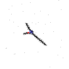 CCCCCCCCCCCCCCCCCCCn1cc[n+](CCCCCCCCC)c1CCCCCCC